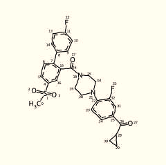 CS(=O)(=O)c1ccc(-c2ccc(F)cc2)c(C(=O)N2CCN(c3ccc(C(=O)C4CC4)cc3F)CC2)c1